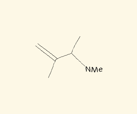 C=C(C)C(C)NC